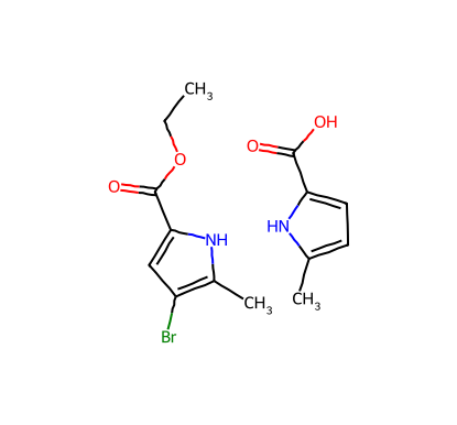 CCOC(=O)c1cc(Br)c(C)[nH]1.Cc1ccc(C(=O)O)[nH]1